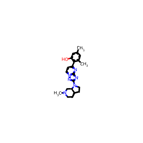 Cc1cc(C)c(-c2ccn3nc(N4CCC5CCN(C)CC54)nc3n2)c(O)c1